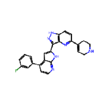 Fc1cccc(-c2ccnc3[nH]c(-c4n[nH]c5ccc(C6=CCNCC6)nc45)cc23)c1